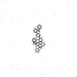 c1ccc(-c2nc3ccccc3c3c(-c4cccc(-c5ccc(-c6cccc7c6sc6ccccc67)cc5)c4)c4c(cc23)oc2ccccc24)cc1